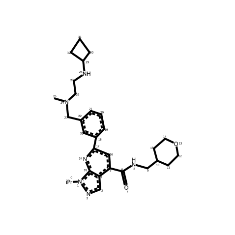 CC(C)n1ncc2c(C(=O)NCC3CCOCC3)cc(-c3cccc(CN(C)CCNC4CCC4)c3)nc21